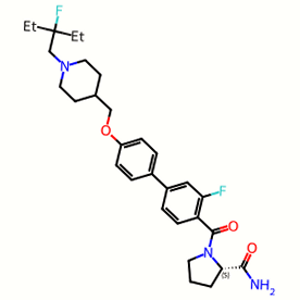 CCC(F)(CC)CN1CCC(COc2ccc(-c3ccc(C(=O)N4CCC[C@H]4C(N)=O)c(F)c3)cc2)CC1